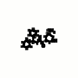 N[C@@H]1CNC[C@H](C(=O)NCC(c2ccccc2)c2ccccc2)C1